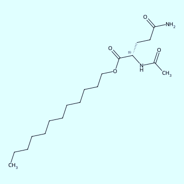 CCCCCCCCCCCCOC(=O)[C@H](CCC(N)=O)NC(C)=O